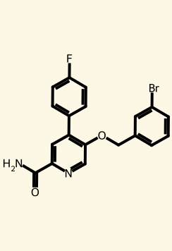 NC(=O)c1cc(-c2ccc(F)cc2)c(OCc2cccc(Br)c2)cn1